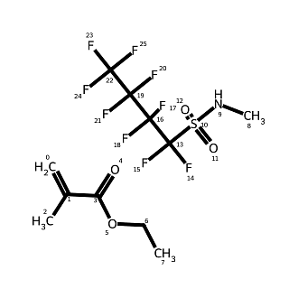 C=C(C)C(=O)OCC.CNS(=O)(=O)C(F)(F)C(F)(F)C(F)(F)C(F)(F)F